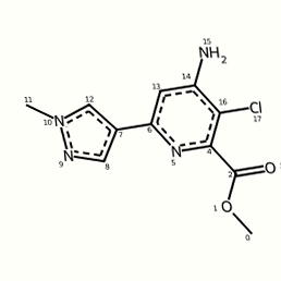 COC(=O)c1nc(-c2cnn(C)c2)cc(N)c1Cl